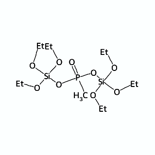 CCO[Si](OCC)(OCC)OP(C)(=O)O[Si](OCC)(OCC)OCC